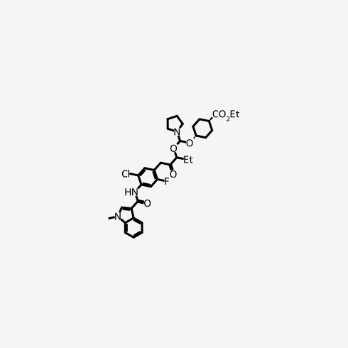 CCOC(=O)[C@H]1CC[C@H](OC(OC(CC)C(=O)Cc2cc(Cl)c(NC(=O)c3cn(C)c4ccccc34)cc2F)N2CCCC2)CC1